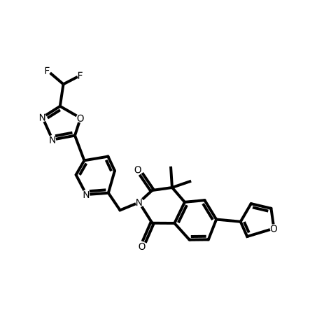 CC1(C)C(=O)N(Cc2ccc(-c3nnc(C(F)F)o3)cn2)C(=O)c2ccc(-c3ccoc3)cc21